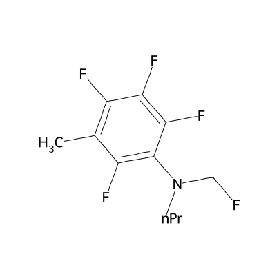 CCCN(CF)c1c(F)c(C)c(F)c(F)c1F